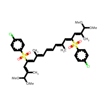 COC(OC)/C(C)=C/C(=C/C(C)=C/C=C/C=C(C)/C=C(/C=C(\C)C(OC)OC)S(=O)(=O)c1ccc(Cl)cc1)S(=O)(=O)c1ccc(Cl)cc1